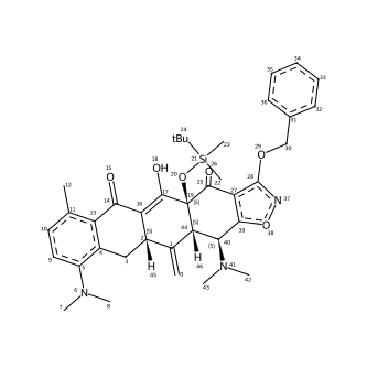 C=C1[C@@H]2Cc3c(N(C)C)ccc(C)c3C(=O)C2=C(O)[C@]2(O[Si](C)(C)C(C)(C)C)C(=O)c3c(OCc4ccccc4)noc3[C@@H](N(C)C)[C@H]12